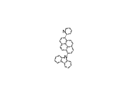 c1ccc(-c2ccc3ccc4c(-n5c6ccccc6c6ccccc65)ccc5ccc2c3c54)nc1